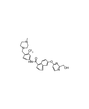 CN1CCN(Cc2ccc(NC(=O)c3cccc4cc(Oc5ccnc(CO)n5)ccc34)cc2C(F)(F)F)CC1